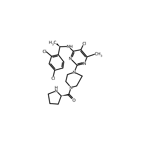 Cc1nc(N2CCN(C(=O)[C@H]3CCCN3)CC2)nc(N[C@H](C)c2ccc(Cl)cc2Cl)c1Cl